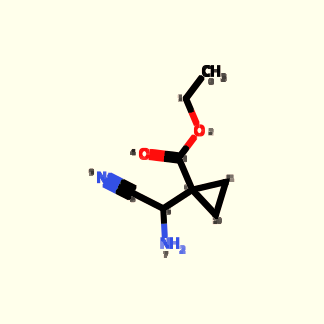 CCOC(=O)C1(C(N)C#N)CC1